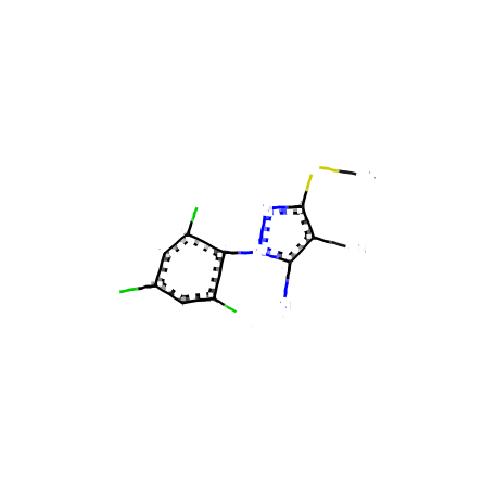 N#CSc1nn(-c2c(Cl)cc(Cl)cc2Cl)c(N)c1C#N